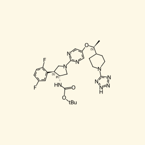 C[C@H](Oc1cnc(N2C[C@H](NC(=O)OC(C)(C)C)[C@@H](c3cc(F)ccc3F)C2)nc1)C1CCN(c2nn[nH]n2)CC1